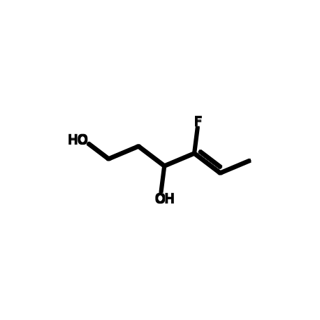 C/C=C(\F)C(O)CCO